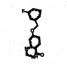 O=c1[nH]cnc2cc(OCc3cccc(F)c3)ccc12